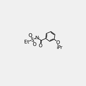 CCS(=O)(=O)[N]C(=O)c1cccc(OC(C)C)c1